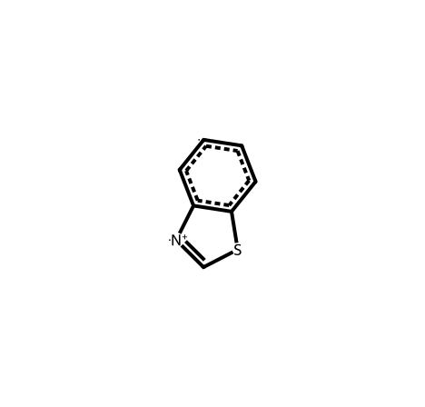 [c]1ccc2c(c1)[N+]=CS2